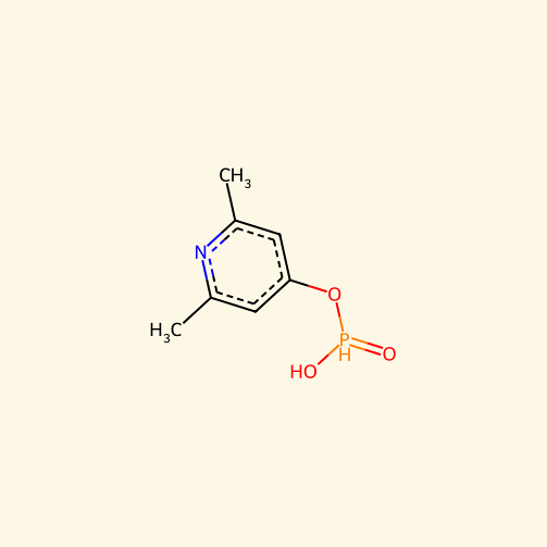 Cc1cc(O[PH](=O)O)cc(C)n1